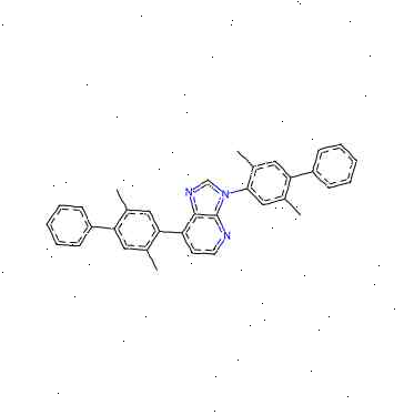 Cc1cc(-c2ccnc3c2ncn3-c2cc(C)c(-c3ccccc3)cc2C)c(C)cc1-c1ccccc1